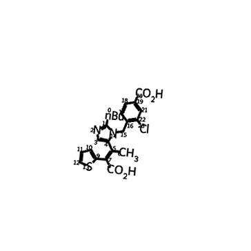 CCCCc1ncc(C(C)=C(C(=O)O)c2cccs2)n1Cc1ccc(C(=O)O)cc1Cl